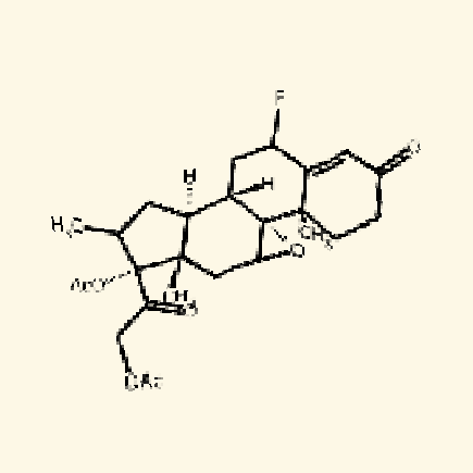 CC(=O)OCC(=O)[C@@]1(OC(C)=O)C(C)C[C@H]2[C@@H]3CC(F)C4=CC(=O)CC[C@]4(C)[C@]34OC4C[C@@]21C